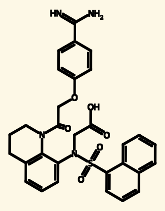 N=C(N)c1ccc(OCC(=O)N2CCCc3cccc(N(CC(=O)O)S(=O)(=O)c4cccc5ccccc45)c32)cc1